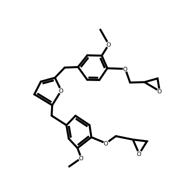 COc1cc(Cc2ccc(Cc3ccc(OCC4CO4)c(OC)c3)o2)ccc1OCC1CO1